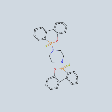 S=P1(N2CCN(P3(=S)Oc4ccccc4-c4ccccc43)CC2)Oc2ccccc2-c2ccccc21